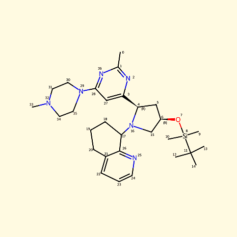 Cc1nc([C@H]2C[C@@H](O[Si](C)(C)C(C)(C)C)CN2C2CCCc3cccnc32)cc(N2CCN(C)CC2)n1